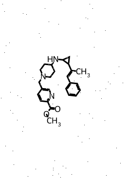 COC(=O)c1ccc(CN2CCC(NC3CC3C(C)=Cc3ccccc3)CC2)cn1